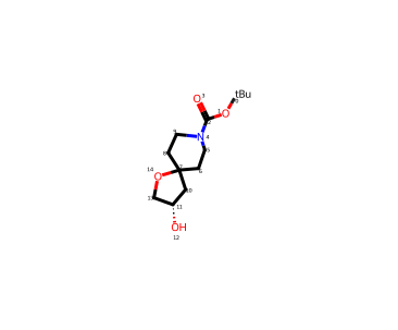 CC(C)(C)OC(=O)N1CCC2(CC1)C[C@H](O)CO2